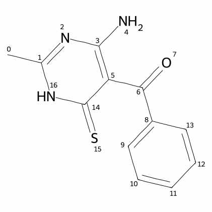 Cc1nc(N)c(C(=O)c2ccccc2)c(=S)[nH]1